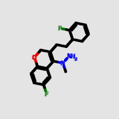 CN(N)C1=C(CCC2CC=CC=C2F)COc2ccc(F)cc21